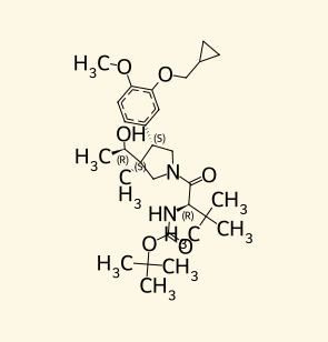 COc1ccc([C@@H]2CN(C(=O)[C@H](NC(=O)OC(C)(C)C)C(C)(C)C)C[C@@]2(C)[C@@H](C)O)cc1OCC1CC1